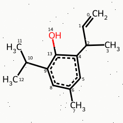 C=CC(C)c1cc(C)cc(C(C)C)c1O